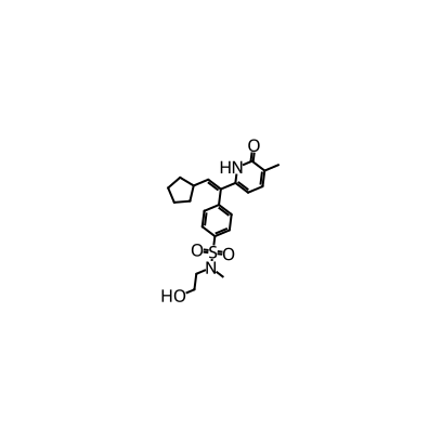 Cc1ccc(C(=CC2CCCC2)c2ccc(S(=O)(=O)N(C)CCO)cc2)[nH]c1=O